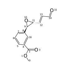 COC(=O)c1cccc([C@H]2O[C@@H]2/C=C/C=O)c1